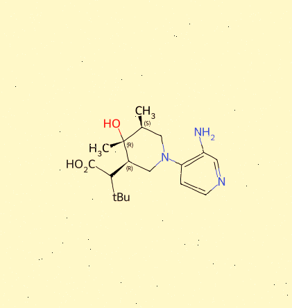 C[C@H]1CN(c2ccncc2N)C[C@@H](C(C(=O)O)C(C)(C)C)[C@]1(C)O